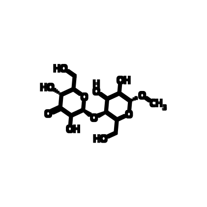 CO[C@@H]1OC(CO)[C@@H](O[C@@H]2OC(CO)[C@@H](O)C(=O)C2O)C(O)C1O